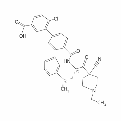 CCN1CCC(C#N)(C(=O)[C@H](C[C@H](C)c2ccccc2)NC(=O)c2ccc(-c3cc(C(=O)O)ccc3Cl)cc2)CC1